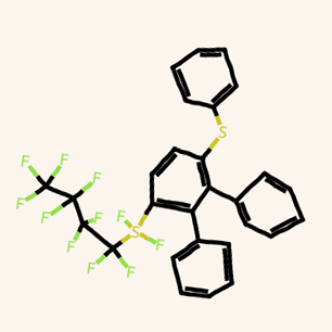 FC(F)(F)C(F)(F)C(F)(F)C(F)(F)S(F)(F)c1ccc(Sc2ccccc2)c(-c2ccccc2)c1-c1ccccc1